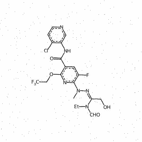 CCN(C=O)/C(CO)=N\N(C)c1nc(OCC(F)(F)F)c(C(=O)Nc2cnccc2Cl)cc1F